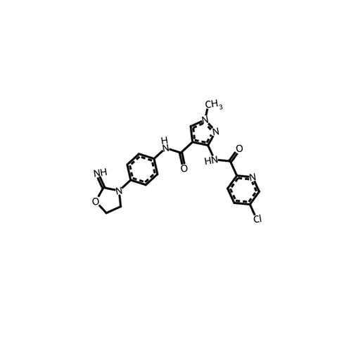 Cn1cc(C(=O)Nc2ccc(N3CCOC3=N)cc2)c(NC(=O)c2ccc(Cl)cn2)n1